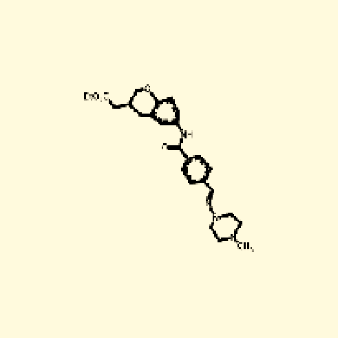 CCOC(=O)CC1COc2ccc(NC(=O)c3ccc(C=NN4CCN(C)CC4)cc3)cc2C1